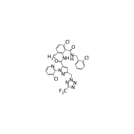 Cc1ccc(Cl)c(C(=O)NCc2ccccc2Cl)c1NC(=O)c1cc(Cn2nnc(C(F)(F)F)n2)nn1-c1ncccc1Cl